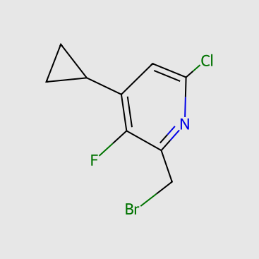 Fc1c(C2CC2)cc(Cl)nc1CBr